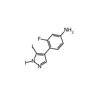 Nc1ccc(-c2cnn(I)c2I)c(F)c1